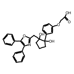 O=C(O)COc1cccc(C2(O)CCCC2(O)Cc2nc(-c3ccccc3)c(-c3ccccc3)o2)c1